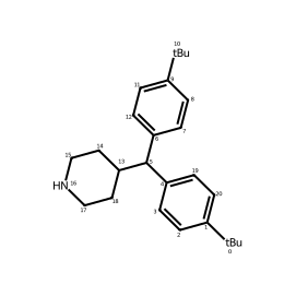 CC(C)(C)c1ccc(C(c2ccc(C(C)(C)C)cc2)C2CCNCC2)cc1